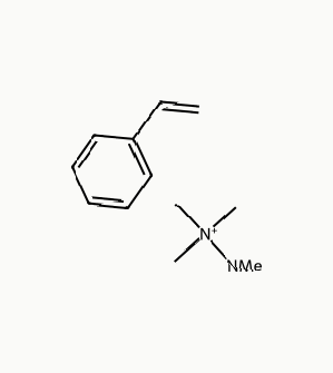 C=Cc1ccccc1.CN[N+](C)(C)C